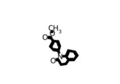 COC(=O)c1ccc(N2C(=O)CCc3ccccc32)cc1